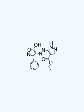 CCOC(=O)c1cn[nH]c1N=Nc1c(-c2ccccc2)noc1O